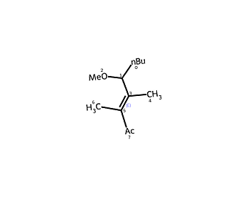 CCCCC(OC)/C(C)=C(\C)C(C)=O